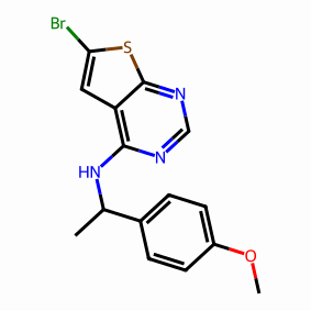 COc1ccc(C(C)Nc2ncnc3sc(Br)cc23)cc1